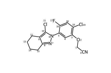 N#CCOc1cc(-n2nc3c(c2Cl)CCCC3)c(F)cc1Cl